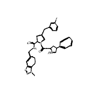 Cn1nnc2c1CCC(CNC(=O)C1CC(Cc3cccc(F)c3)CN1C(=O)C1CC(c3ccccc3)CN1)=C2